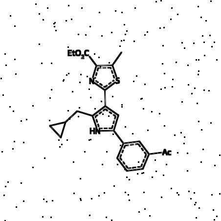 CCOC(=O)c1nc(-c2cc(-c3cccc(C(C)=O)c3)[nH]c2CC2CC2)sc1C